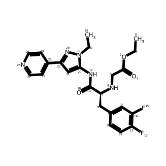 CCOC(=O)CN[C@@H](Cc1ccc(F)c(F)c1)C(=O)Nc1cc(-c2ccncc2)nn1CC